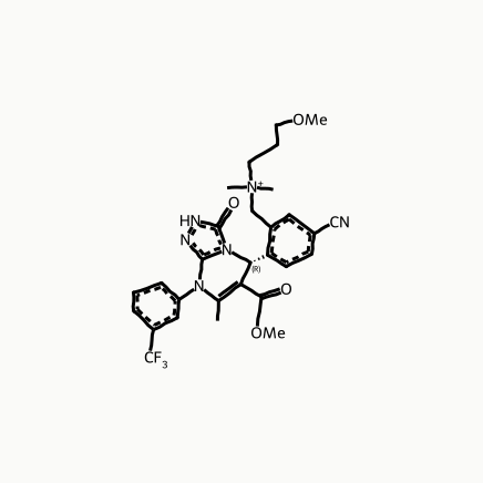 COCCC[N+](C)(C)Cc1cc(C#N)ccc1[C@@H]1C(C(=O)OC)=C(C)N(c2cccc(C(F)(F)F)c2)c2n[nH]c(=O)n21